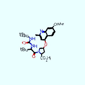 COc1ccc2c(OC3CC(C(=O)O)N(C(=O)C(NC(=O)NC(C)(C)C)C(C)(C)C)C3)cc(C)nc2c1